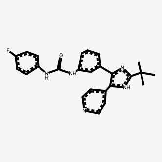 CC(C)(C)c1nc(-c2cccc(NC(=O)Nc3ccc(F)cc3)c2)c(-c2ccncc2)[nH]1